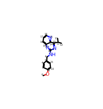 COc1ccc(CNc2nc(C(C)C)c3ncccc3n2)cc1